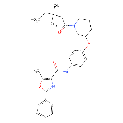 CC(C)(CC(=O)O)CC(=O)N1CCCC(Oc2ccc(NC(=O)c3nc(-c4ccccc4)oc3C(F)(F)F)cc2)C1